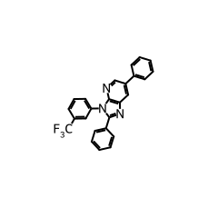 FC(F)(F)c1cccc(-n2c(-c3ccccc3)nc3cc(-c4ccccc4)cnc32)c1